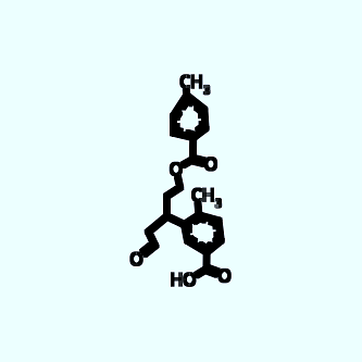 Cc1ccc(C(=O)OCCC(CC=O)c2cc(C(=O)O)ccc2C)cc1